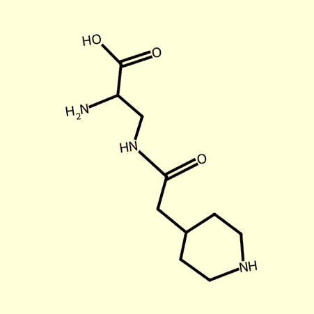 NC(CNC(=O)CC1CCNCC1)C(=O)O